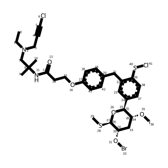 CCN(CC#CCl)CC(C)(C)NC(=O)CCOc1ccc(Cc2cc([C@@H]3O[C@H](SC)[C@@H](OBr)C[C@H]3OI)ccc2SCl)cc1